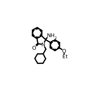 CCOc1ccc(C2(N)c3ccccc3C(=O)N2CC2CCCCC2)cc1